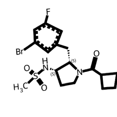 CS(=O)(=O)N[C@H]1CCN(C(=O)C2CCC2)[C@H]1Cc1cc(F)cc(Br)c1